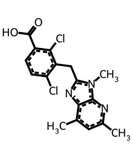 Cc1cc(C)c2nc(Cc3c(Cl)ccc(C(=O)O)c3Cl)n(C)c2n1